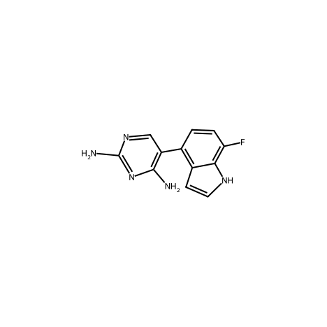 Nc1ncc(-c2ccc(F)c3[nH]ccc23)c(N)n1